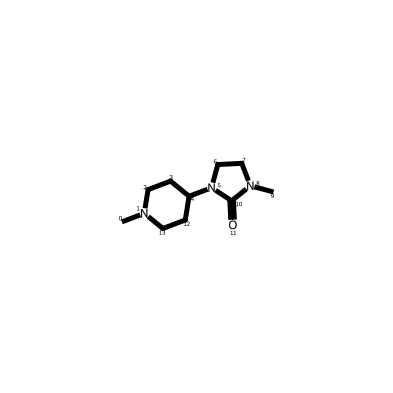 CN1CCC(N2CCN(C)C2=O)CC1